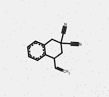 C=CC1CC(C#N)(C#N)Cc2ccccc21